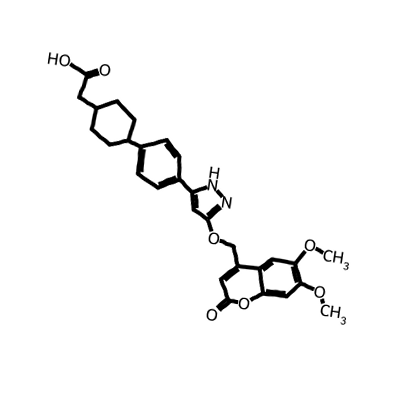 COc1cc2oc(=O)cc(COc3cc(-c4ccc(C5CCC(CC(=O)O)CC5)cc4)[nH]n3)c2cc1OC